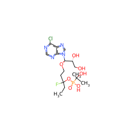 CCC(F)(CCO[C@H]([C@H](O)CO)n1cnc2c(Cl)ncnc21)OP(=O)(O)C(C)(C)O